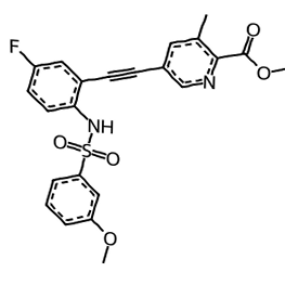 COC(=O)c1ncc(C#Cc2cc(F)ccc2NS(=O)(=O)c2cccc(OC)c2)cc1C